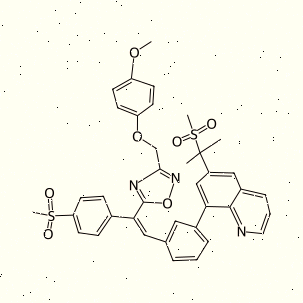 COc1ccc(OCc2noc(C(=Cc3cccc(-c4cc(C(C)(C)S(C)(=O)=O)cc5cccnc45)c3)c3ccc(S(C)(=O)=O)cc3)n2)cc1